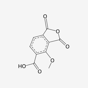 COc1c(C(=O)O)ccc2c1C(=O)OC2=O